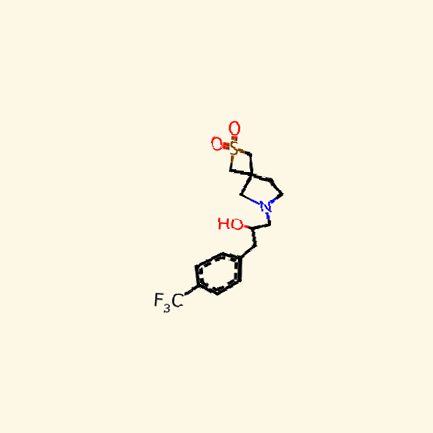 O=S1(=O)CC2(CCN(CC(O)Cc3ccc(C(F)(F)F)cc3)C2)C1